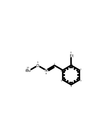 CCc1ccccc1/[C]=N/OC(C)CC